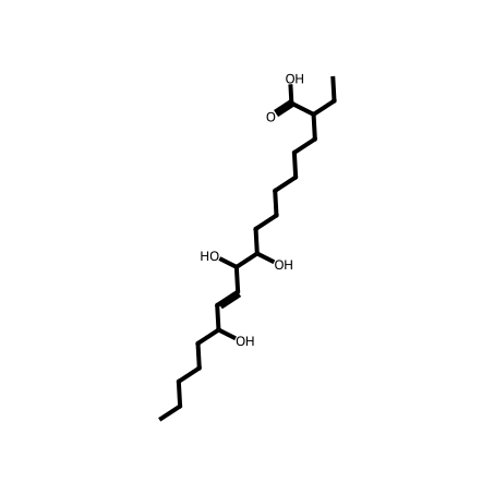 CCCCCC(O)/C=C/C(O)C(O)CCCCCCC(CC)C(=O)O